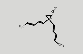 CC=CC=[CH][Ti+2]1([CH]=CC=CC)[CH2][CH2]1.[Cl-].[Cl-]